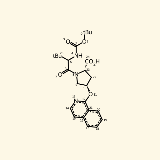 CC(C)(C)OC(=O)NC(C(=O)N1C[C@H](Oc2nccc3ccccc23)C[C@H]1C(=O)O)C(C)(C)C